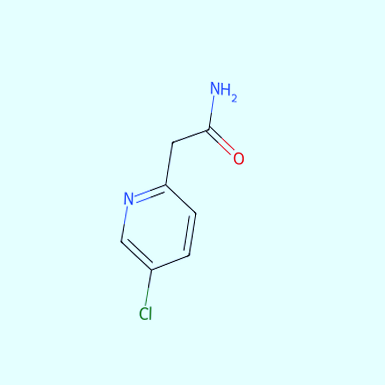 NC(=O)Cc1ccc(Cl)cn1